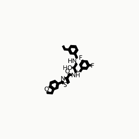 CCc1cccc(CNC[C@H](O)[C@H](Cc2cc(F)cc(F)c2)NC(=O)c2csc(-c3ccc4c(c3)CCO4)n2)c1